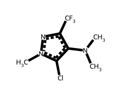 CN(C)c1c(C(F)(F)F)nn(C)c1Cl